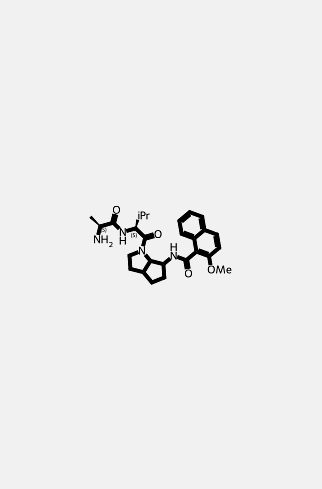 COc1ccc2ccccc2c1C(=O)NC1CCC2CCN(C(=O)[C@@H](NC(=O)[C@H](C)N)C(C)C)C21